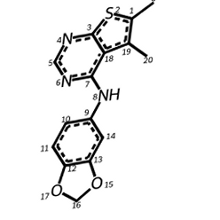 Cc1sc2ncnc(Nc3ccc4c(c3)OCO4)c2c1C